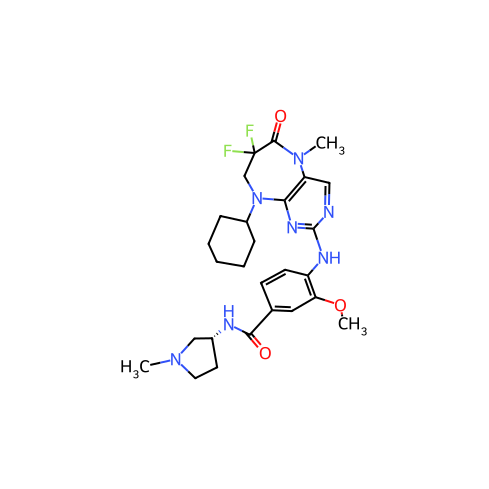 COc1cc(C(=O)N[C@@H]2CCN(C)C2)ccc1Nc1ncc2c(n1)N(C1CCCCC1)CC(F)(F)C(=O)N2C